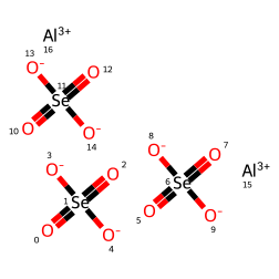 O=[Se](=O)([O-])[O-].O=[Se](=O)([O-])[O-].O=[Se](=O)([O-])[O-].[Al+3].[Al+3]